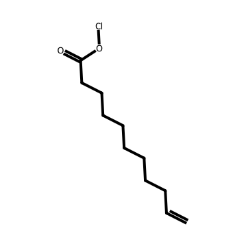 C=CCCCCCCCCC(=O)OCl